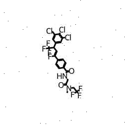 CN(CC(F)(F)F)C(=O)CNC(=O)c1ccc(C(F)=CC(c2cc(Cl)c(Cl)c(Cl)c2)C(F)(F)F)cc1